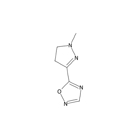 CN1CCC(c2ncno2)=N1